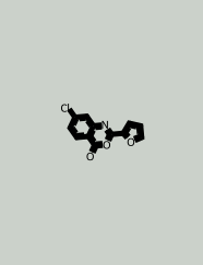 O=c1oc(-c2ccco2)nc2cc(Cl)ccc12